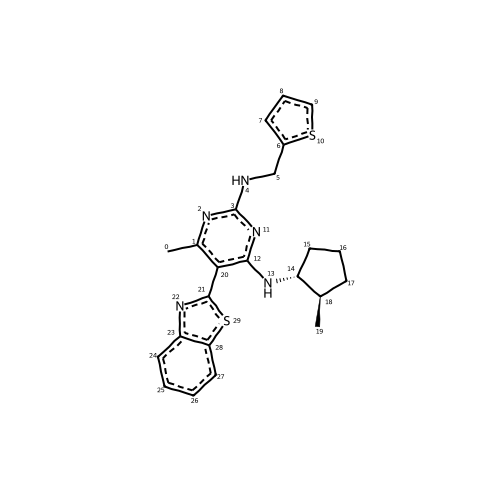 Cc1nc(NCc2cccs2)nc(N[C@@H]2CCC[C@H]2C)c1-c1nc2ccccc2s1